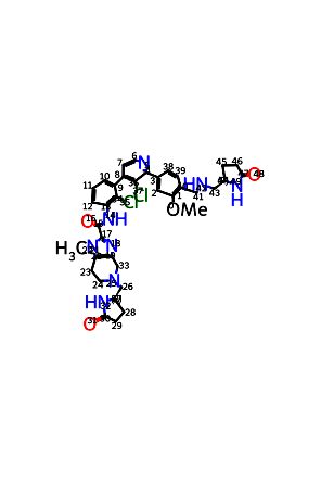 COc1cc(-c2nccc(-c3cccc(NC(=O)c4nc5c(n4C)CCN(C[C@H]4CCC(=O)N4)C5)c3Cl)c2Cl)ccc1CNC[C@H]1CCC(=O)N1